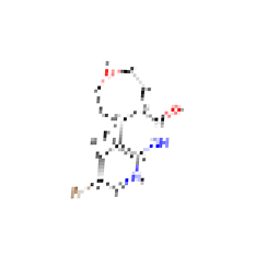 O=C1Nc2ncc(Br)cc2[C@H]2CCOCCC12